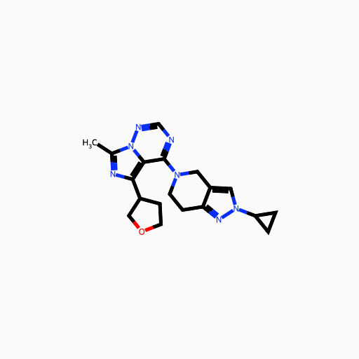 Cc1nc(C2CCOC2)c2c(N3CCc4nn(C5CC5)cc4C3)ncnn12